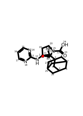 NC(=O)C12CC3CC(C1)C([C@@H]1C(Nc4ncccn4)CCN1C(=O)O)C(C3)C2